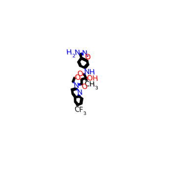 CC(O)(C(=O)Nc1ccc2c(N)noc2c1)C1OCCN(c2ccc3cc(C(F)(F)F)ccc3n2)C1=O